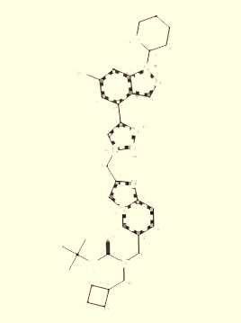 CC(C)(C)OC(=O)N(Cc1ccc2nc(Cn3cc(-c4cc(O)cc5c4cnn5C4CCCCO4)nn3)cn2c1)CC1CCC1